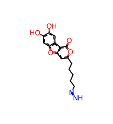 N=NCCCCCc1cc2oc3cc(O)c(O)cc3c2c(=O)o1